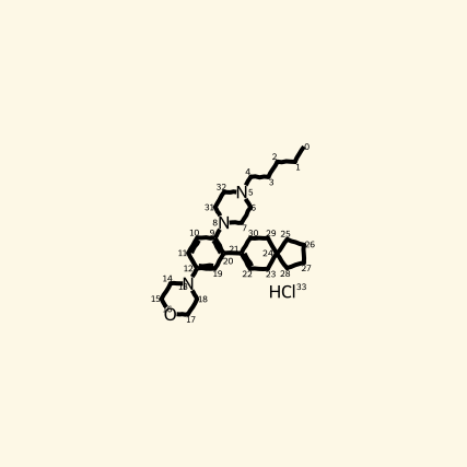 CCCCCN1CCN(c2ccc(N3CCOCC3)cc2C2=CCC3(CCCC3)CC2)CC1.Cl